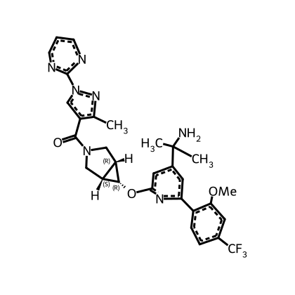 COc1cc(C(F)(F)F)ccc1-c1cc(C(C)(C)N)cc(O[C@@H]2[C@@H]3CN(C(=O)c4cn(-c5ncccn5)nc4C)C[C@@H]32)n1